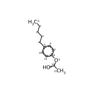 CCCCCc1ccc(OC(C)O)cc1